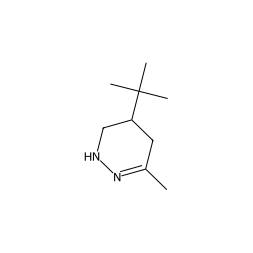 CC1=NNCC(C(C)(C)C)C1